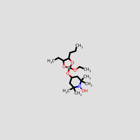 CCCC1O[Si](OCC)(OC2CC(C)(C)N(O)C(C)(C)C2)OC1CC